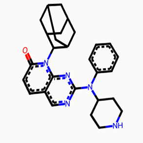 O=c1ccc2cnc(N(c3ccccc3)C3CCNCC3)nc2n1C1C2CC3CC(C2)CC1C3